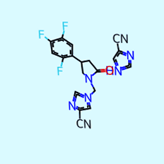 N#Cc1c[nH]cn1.N#Cc1cn(CN2CC(c3cc(F)c(F)cc3F)CC2=O)cn1